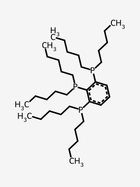 CCCCCP(CCCCC)c1cccc(P(CCCCC)CCCCC)c1P(CCCCC)CCCCC